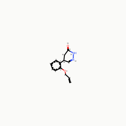 C=CCOc1ccccc1C1C=NNC(=O)C1